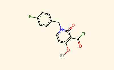 CCOc1ccn(Cc2ccc(F)cc2)c(=O)c1C(=O)Cl